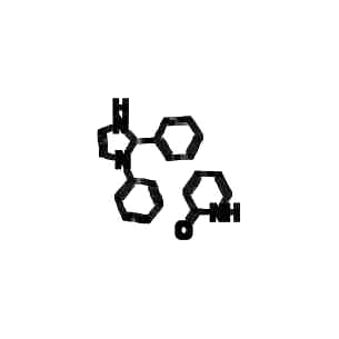 C1=CN(c2ccccc2)C(c2ccccc2)N1.O=c1cccc[nH]1